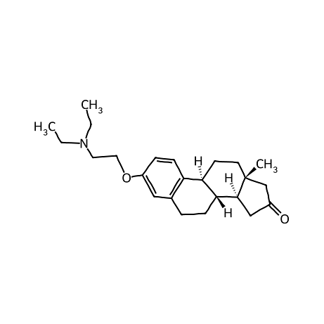 CCN(CC)CCOc1ccc2c(c1)CC[C@@H]1[C@@H]2CC[C@]2(C)CC(=O)C[C@@H]12